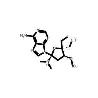 C[SiH](C)[C@]1(n2cnc3c(N)ncnc32)C[C@H](OC(C)(C)C)[C@](CO)(CI)O1